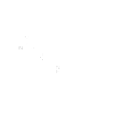 O=c1[nH]c2c(o1)C(NCCNCc1cccc(-c3ccccc3)c1)=CCC=C2